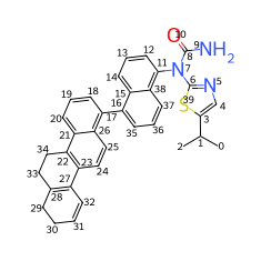 CC(C)c1cnc(N(C(N)=O)c2cccc3c(-c4cccc5c6c(ccc45)C4=C(CCC=C4)CC6)cccc23)s1